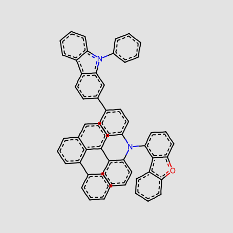 c1ccc(-c2cccc3cccc(-c4ccccc4N(c4ccc(-c5ccc6c7ccccc7n(-c7ccccc7)c6c5)cc4)c4cccc5oc6ccccc6c45)c23)cc1